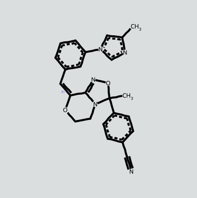 Cc1cn(-c2cccc(/C=C3/OCCN4C3=NOC4(C)c3ccc(C#N)cc3)c2)cn1